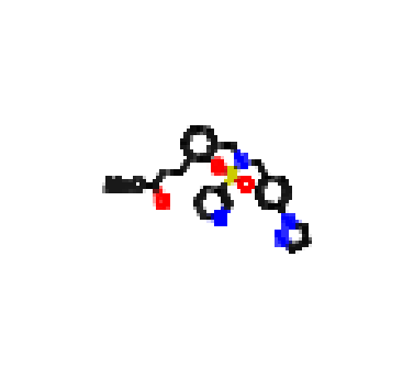 COC(=O)CCc1cccc(CN(Cc2ccc(-n3cccn3)cc2)S(=O)(=O)c2cccnc2)c1